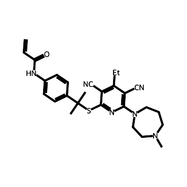 C=CC(=O)Nc1ccc(C(C)(C)Sc2nc(N3CCCN(C)CC3)c(C#N)c(CC)c2C#N)cc1